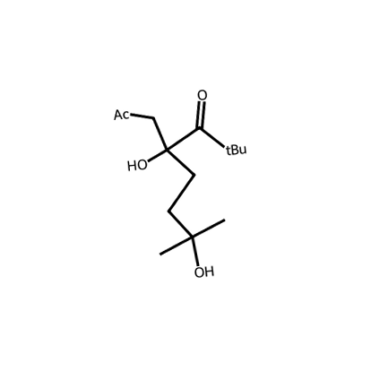 CC(=O)CC(O)(CCC(C)(C)O)C(=O)C(C)(C)C